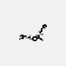 Cn1cc(CNC(=O)OC2CCc3c(sc(NC(=O)C=Cc4cccs4)c3C#N)C2)cn1